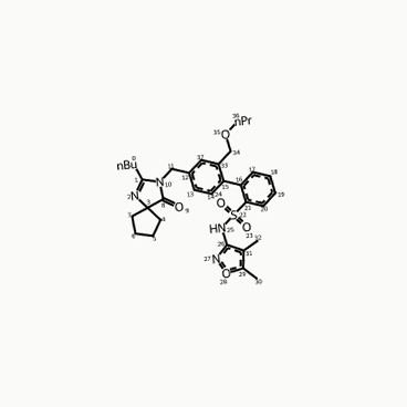 CCCCC1=NC2(CCCC2)C(=O)N1Cc1ccc(-c2ccccc2S(=O)(=O)Nc2noc(C)c2C)c(COCCC)c1